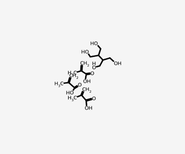 C=C(C)C(=O)O.C=C(C)C(=O)O.C=C(C)C(=O)O.OCC(CO)C(CO)CO